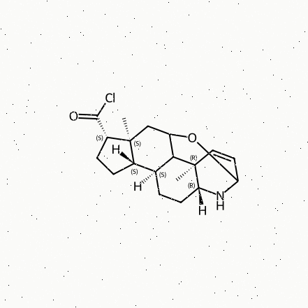 C[C@]12CC3OC4C=C[C@]5(C)C3[C@@H](CC[C@H]5N4)[C@@H]1CC[C@@H]2C(=O)Cl